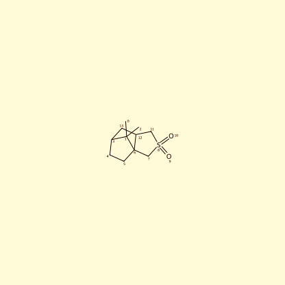 CC1(C)C2CCC13CS(=O)(=O)CC3C2